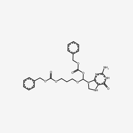 Nc1nc2c(c(=O)[nH]1)NCN2C(OCCCOC(=O)OCc1ccccc1)OC(=O)OCc1ccccc1